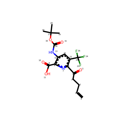 C=CCCC(=O)c1nc(C(=O)O)c(NC(=O)OC(C)(C)C)cc1C(F)(F)F